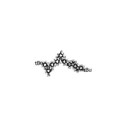 Cc1cc(C)c(N(c2ccc(-c3ccc(N(c4ccc(C(C)(C)C)cc4)c4c(C)cc(C)cc4C)cc3)cc2)c2ccc(-c3ccc4c(c3)C(C)(C)c3cc5c(cc3-4)C(C)(C)c3cc(C(C)(C)C)ccc3-5)cc2)c(C)c1